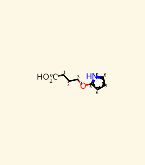 O=C(O)CCCOc1ccc[nH]1